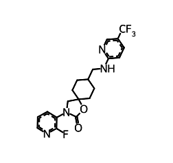 O=C1OC2(CCC(CNc3ccc(C(F)(F)F)cn3)CC2)CN1c1cccnc1F